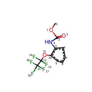 COC(=O)Nc1ccccc1OC(F)(F)C(F)(F)F